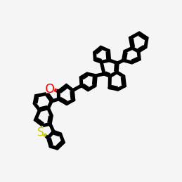 c1ccc2cc(-c3c4ccccc4c(-c4ccc(-c5ccc6c(c5)oc5ccc7cc8sc9ccccc9c8cc7c56)cc4)c4ccccc34)ccc2c1